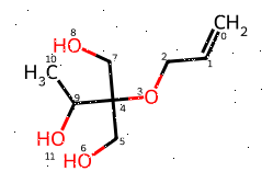 C=CCOC(CO)(CO)C(C)O